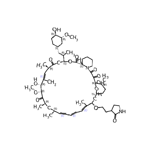 CO[C@@H]1C[C@H](C[C@@H](C)[C@@H]2CC(=O)[C@H](C)/C=C(\C)[C@@H](O)[C@@H](OC)C(=O)[C@H](C)C[C@H](C)/C=C/C=C/C=C(\C)C(OCCC3CCNC3=O)C[C@@H]3CC[C@@H](C)[C@@](O)(O3)C(=O)C(=O)N3CCCC[C@H]3C(=O)O2)CC[C@H]1O